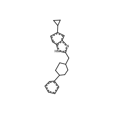 c1ccc(C2CCC(Cc3nc4cc(C5CC5)ccc4[nH]3)CC2)cc1